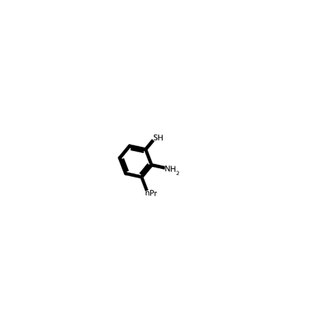 CCCc1cccc(S)c1N